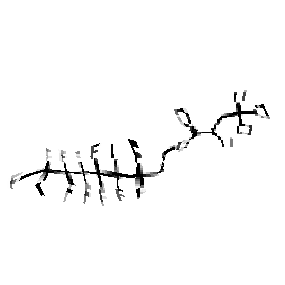 O=C(OCCC(F)(F)C(F)(F)C(F)(F)C(F)(F)C(F)(F)C(F)(F)F)C(Cl)CC(Cl)(Cl)Cl